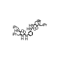 CC(C)CNC(=O)[C@H](CC(C)C)NC(=O)Nc1cccc(NC(=O)N[C@@H](CC(C)C)C(=O)NCC(C)C)c1